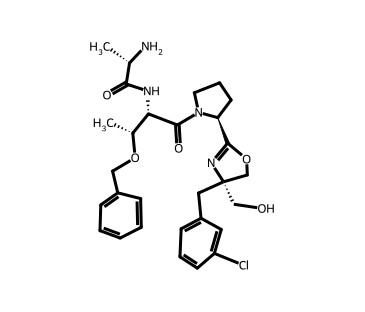 C[C@H](N)C(=O)N[C@H](C(=O)N1CCC[C@H]1C1=N[C@](CO)(Cc2cccc(Cl)c2)CO1)[C@@H](C)OCc1ccccc1